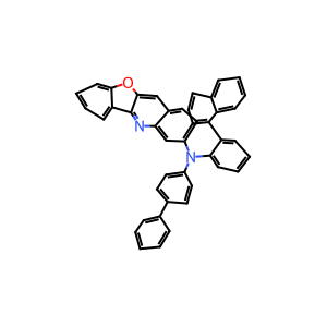 c1ccc(-c2ccc(N(c3ccc4cc5oc6ccccc6c5nc4c3)c3ccccc3-c3cccc4ccccc34)cc2)cc1